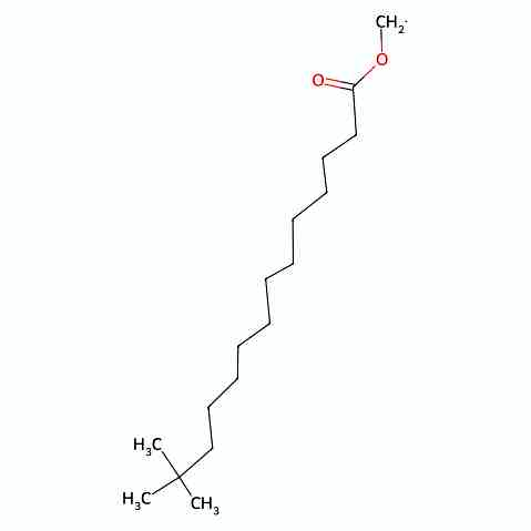 [CH2]OC(=O)CCCCCCCCCCCC(C)(C)C